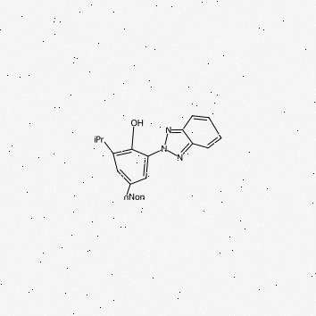 CCCCCCCCCc1cc(C(C)C)c(O)c(-n2nc3ccccc3n2)c1